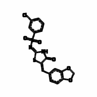 O=C1NC(=NS(=O)(=O)c2cccc(Cl)c2)SC1=Cc1ccc2c(c1)OCO2